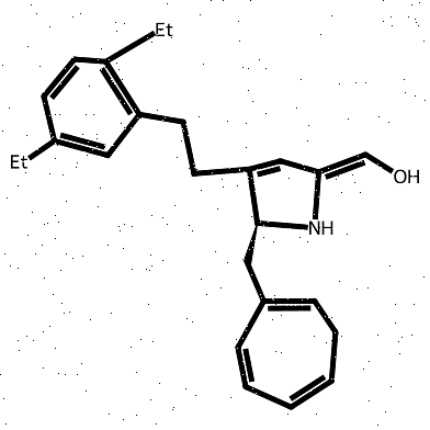 CCc1ccc(CC)c(CCC2=C/C(=C/O)N[C@H]2CC2=CCC=CC=C2)c1